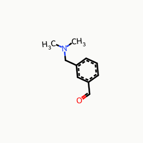 CN(C)Cc1cccc(C=O)c1